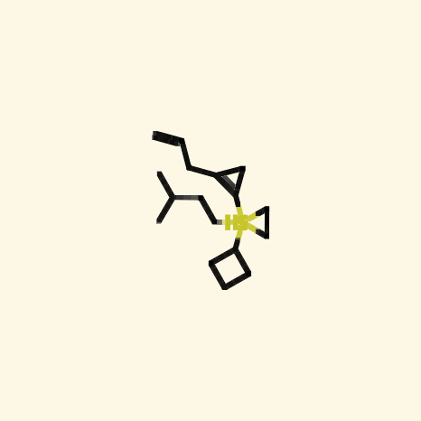 C=CCC1=C([SH]2(CCC(C)C)(C3CCC3)CC2)C1